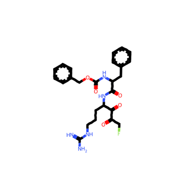 N=C(N)NCCCC(NC(=O)C(Cc1ccccc1)NC(=O)OCc1ccccc1)C(=O)C(=O)CF